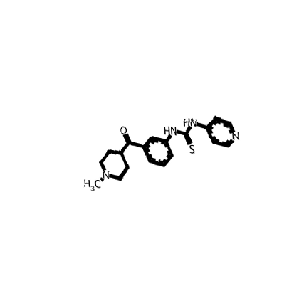 CN1CCC(C(=O)c2cccc(NC(=S)Nc3ccncc3)c2)CC1